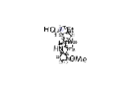 C/C=C(/CO)[C@H]1C[C@H]2c3[nH]c4cccc(OC)c4c3CCN2C[C@H]1CC